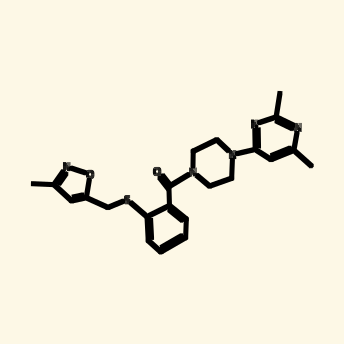 Cc1cc(CSc2ccccc2C(=O)N2CCN(c3cc(C)nc(C)n3)CC2)on1